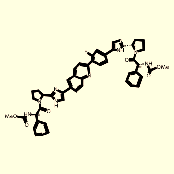 COC(=O)N[C@@H](C(=O)N1CCCC1c1nc(-c2ccc3nc(-c4ccc(-c5cnc([C@@H]6CCCN6C(=O)[C@H](NC(=O)OC)c6ccccc6)[nH]5)cc4F)ccc3c2)c[nH]1)c1ccccc1